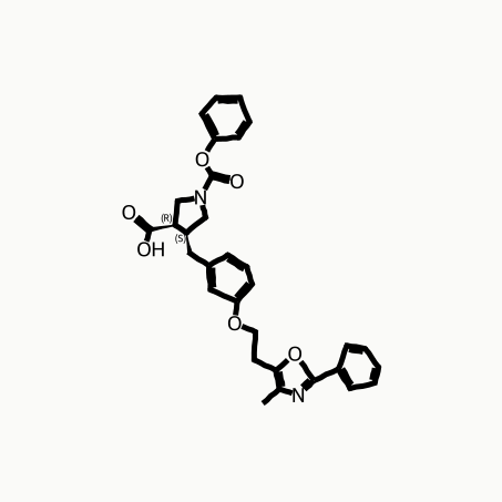 Cc1nc(-c2ccccc2)oc1CCOc1cccc(C[C@@H]2CN(C(=O)Oc3ccccc3)C[C@@H]2C(=O)O)c1